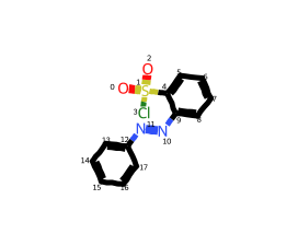 O=S(=O)(Cl)c1ccccc1N=Nc1ccccc1